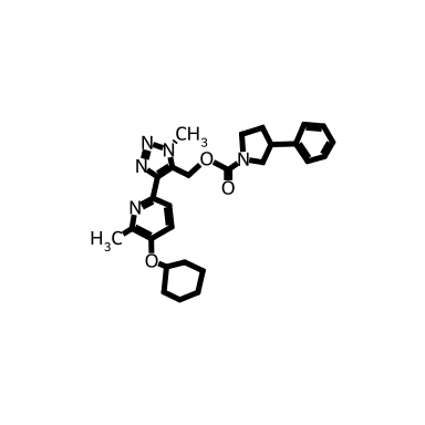 Cc1nc(-c2nnn(C)c2COC(=O)N2CCC(c3ccccc3)C2)ccc1OC1CCCCC1